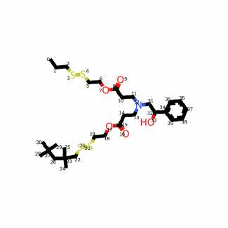 CCCSSCCOC(=O)CCN(CCC(=O)OCCSSCC(C)(C)CC(C)(C)C)CC(O)c1ccccc1